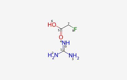 N=C(N)N.O=C(O)CF